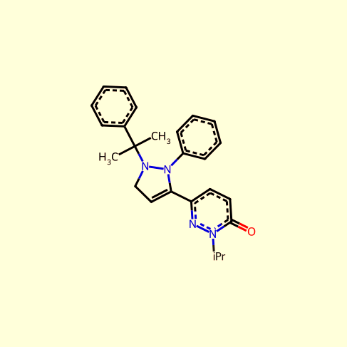 CC(C)n1nc(C2=CCN(C(C)(C)c3ccccc3)N2c2ccccc2)ccc1=O